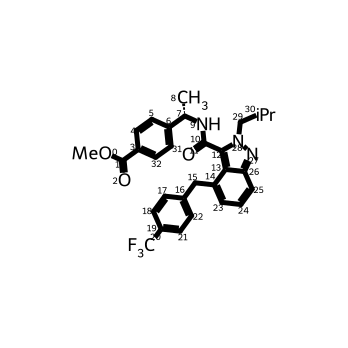 COC(=O)c1ccc([C@H](C)NC(=O)c2c3c(Cc4ccc(C(F)(F)F)cc4)cccc3nn2CC(C)C)cc1